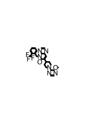 COc1nccnc1N1CCC(c2cc3nccnc3n(Cc3ccccc3C(F)(F)F)c2=O)CC1